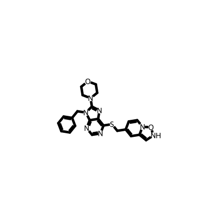 C1=CN2ONC=C2C=C1CSc1ncnc2c1nc(N1CCOCC1)n2Cc1ccccc1